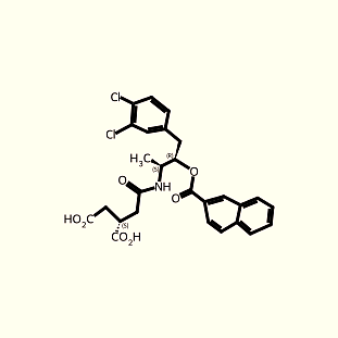 C[C@H](NC(=O)C[C@@H](CC(=O)O)C(=O)O)[C@@H](Cc1ccc(Cl)c(Cl)c1)OC(=O)c1ccc2ccccc2c1